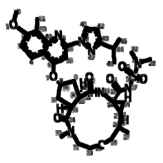 COc1ccc2c(O[C@@H]3C[C@H]4C(=O)N[C@]5(C(=O)NS(=O)(=O)N(C)C)C[C@H]5C(C)CCCCN(C)C(=O)[C@@H]4C3)cc(-n3ccc(C(C)C)n3)nc2c1C